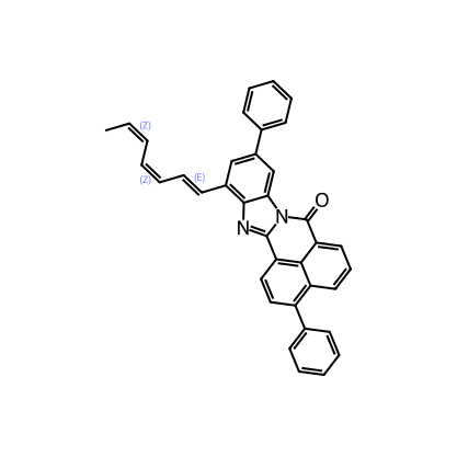 C\C=C/C=C\C=C\c1cc(-c2ccccc2)cc2c1nc1c3ccc(-c4ccccc4)c4cccc(c(=O)n21)c43